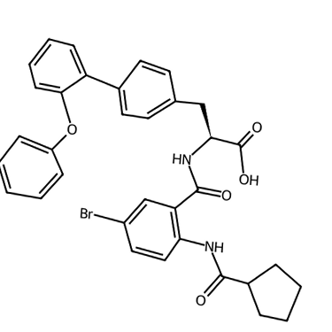 O=C(N[C@@H](Cc1ccc(-c2ccccc2Oc2ccccc2)cc1)C(=O)O)c1cc(Br)ccc1NC(=O)C1CCCC1